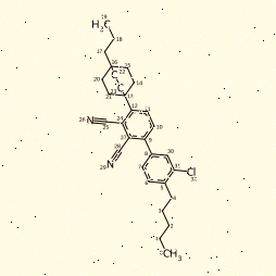 CCCCCc1ccc(-c2ccc(C34CCC(CCC)(CC3)CC4)c(C#N)c2C#N)cc1Cl